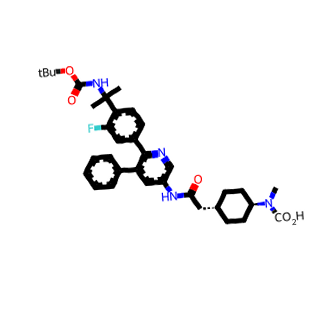 CN(C(=O)O)[C@H]1CC[C@H](CC(=O)Nc2cnc(-c3ccc(C(C)(C)NC(=O)OC(C)(C)C)c(F)c3)c(-c3ccccc3)c2)CC1